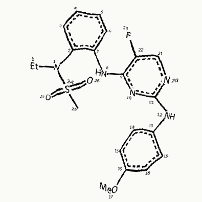 CCN(c1ccccc1Nc1nc(Nc2ccc(OC)cc2)ncc1F)S(C)(=O)=O